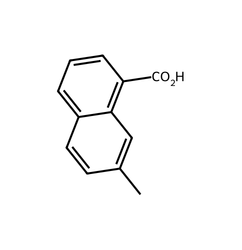 Cc1ccc2cccc(C(=O)O)c2c1